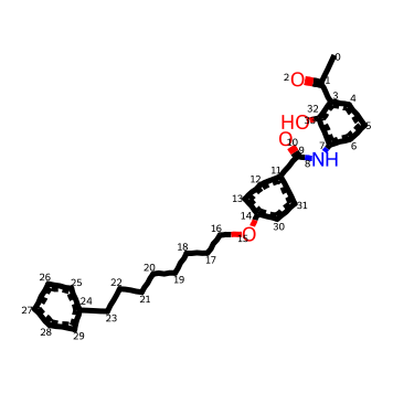 CC(=O)c1cccc(NC(=O)c2ccc(OCCCCCCCCc3ccccc3)cc2)c1O